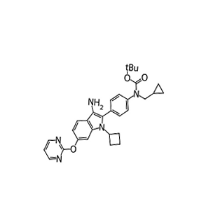 CC(C)(C)OC(=O)N(CC1CC1)c1ccc(-c2c(N)c3ccc(Oc4ncccn4)cc3n2C2CCC2)cc1